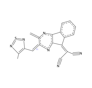 C=c1nc2c(n/c1=C/C1=C(C)N=S=N1)C(=C(C#N)C#N)c1ccccc1-2